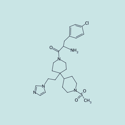 CS(=O)(=O)N1CCC(C2(CCn3ccnc3)CCN(C(=O)C(N)Cc3ccc(Cl)cc3)CC2)CC1